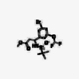 COC(=O)CC(N[S@+]([O-])C(C)(C)C)c1cc(Br)cc(OC(F)F)c1